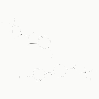 Cc1ccc([C@@H]2CCN(C(=O)OC(C)(C)C)C[C@H]2COc2ccc3c(c2)C(=O)N(C(=O)OC(C)(C)C)C3)cc1